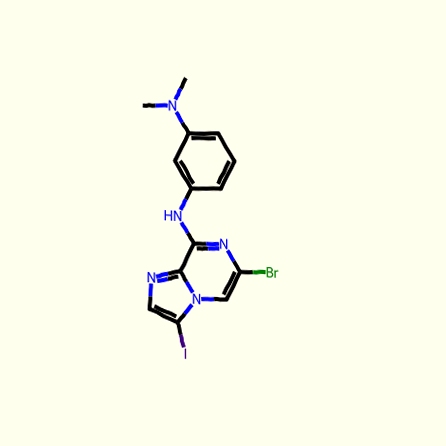 CN(C)c1cccc(Nc2nc(Br)cn3c(I)cnc23)c1